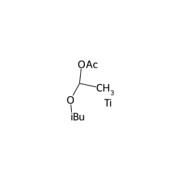 CCC(C)OC(C)OC(C)=O.[Ti]